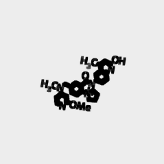 COc1cc(N(C)Cc2ccc(N3CCCC3)c(C(=O)Nc3ccc4nc(O)cc(C)c4c3)c2)ccn1